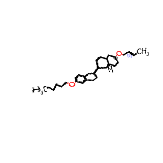 C/C=C/CO[C@@H]1CC[C@@H]2CC(C3CCc4cc(OCCCCCC)ccc4C3)CCC2C1